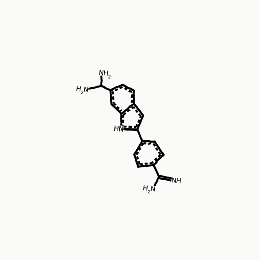 N=C(N)c1ccc(-c2cc3ccc(C(N)N)cc3[nH]2)cc1